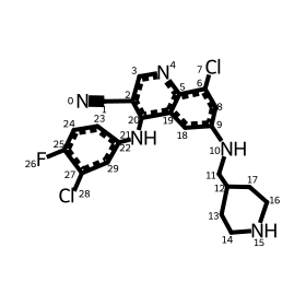 N#Cc1cnc2c(Cl)cc(NCC3CCNCC3)cc2c1Nc1ccc(F)c(Cl)c1